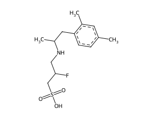 Cc1ccc(CC(C)NCC(F)CS(=O)(=O)O)c(C)c1